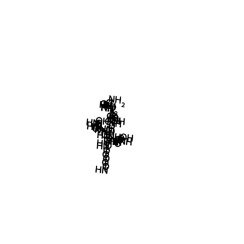 CCCC(NC(=O)C(N)C(C)C)C(=O)NC(CCCCN)C(=O)Nc1ccc(COC(=O)N(C(=O)C(C)NC(=O)C(CCCCNC(=O)c2cc(C(=O)NCCCCC(NC(C)=O)C(=O)NC(C)C(=O)NC(C)C(=O)O)c(NCCOCCNC(=O)NCCOCCOCCOCCOCCOCCNC)c(C(=O)NCCCCC(NC(C)=O)C(=O)NC(C)C(=O)NC(C)C(=O)O)c2)NC(C)=O)C(C)C(=O)O)cc1